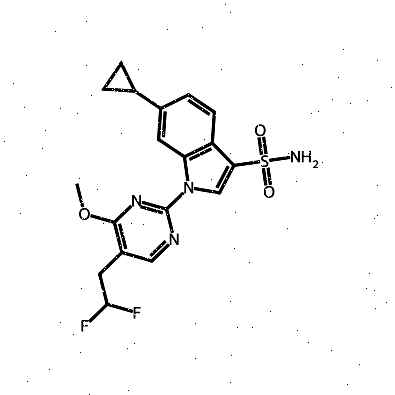 COc1nc(-n2cc(S(N)(=O)=O)c3ccc(C4CC4)cc32)ncc1CC(F)F